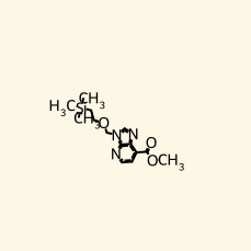 COC(=O)c1ccnc2c1ncn2COCC[Si](C)(C)C